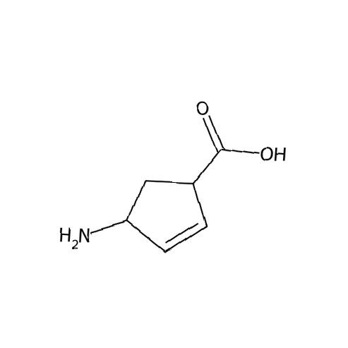 NC1C=CC(C(=O)O)C1